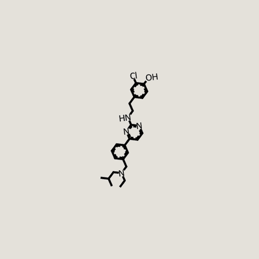 CCN(Cc1cccc(-c2ccnc(NCCc3ccc(O)c(Cl)c3)n2)c1)CC(C)C